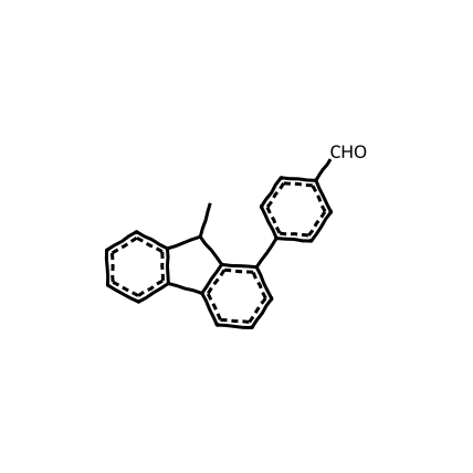 CC1c2ccccc2-c2cccc(-c3ccc(C=O)cc3)c21